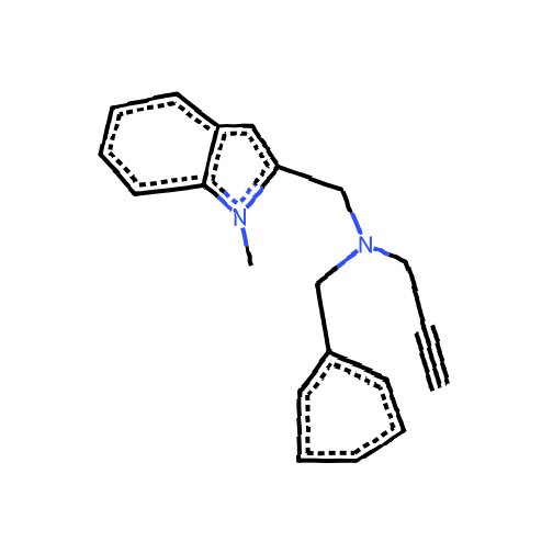 C#CCN(Cc1ccccc1)Cc1cc2ccccc2n1C